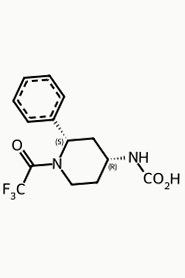 O=C(O)N[C@@H]1CCN(C(=O)C(F)(F)F)[C@H](c2ccccc2)C1